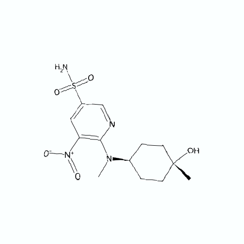 CN(c1ncc(S(N)(=O)=O)cc1[N+](=O)[O-])[C@H]1CC[C@](C)(O)CC1